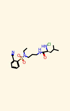 CCN(CCCNC(=O)[C@H](CC(C)C)NCl)S(=O)(=O)c1ccccc1C#N